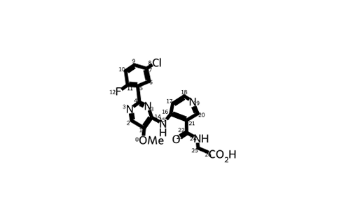 COc1cnc(-c2cc(Cl)ccc2F)nc1Nc1ccncc1C(=O)NCC(=O)O